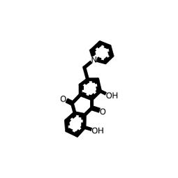 O=C1c2cccc(O)c2C(=O)c2c(O)cc(C[n+]3ccccc3)cc21